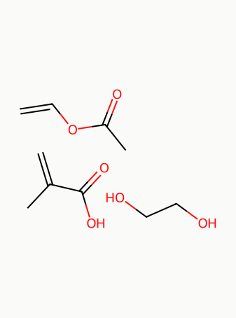 C=C(C)C(=O)O.C=COC(C)=O.OCCO